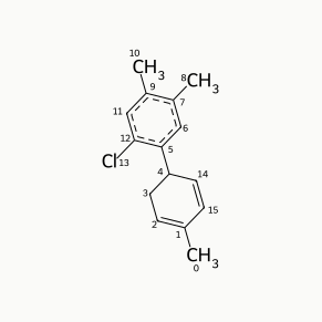 CC1=CCC(c2cc(C)c(C)cc2Cl)C=C1